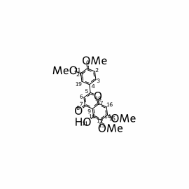 COc1ccc(-c2cc(=O)c3c(O)c(OC)c(OC)cc3o2)cc1OC